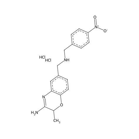 CC1Oc2ccc(CNCc3ccc([N+](=O)[O-])cc3)cc2N=C1N.Cl.Cl